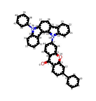 O=c1c2ccc(-c3ccccc3)cc2oc2cc(-n3c4ccccc4c4ccc5c(c6ccccc6n5-c5ccccc5)c43)ccc12